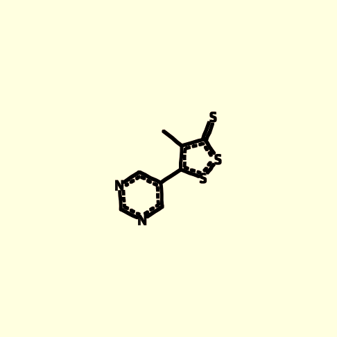 Cc1c(-c2cncnc2)ssc1=S